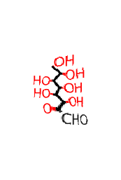 O=CC(=O)C(O)C(O)C(O)C(O)C(O)CO